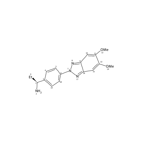 CC[C@H](N)c1ccc(-n2nc3cc(OC)c(OC)cc3n2)cc1